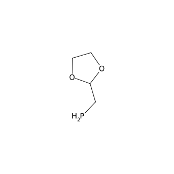 PCC1OCCO1